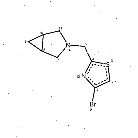 Brc1csc(CN2CC3CC3C2)n1